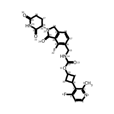 Cc1nccc(F)c1C1CC(OC(=O)NCc2ccc3c(c2F)C(=O)N([C@H]2CCC(=O)NC2=O)C3)C1